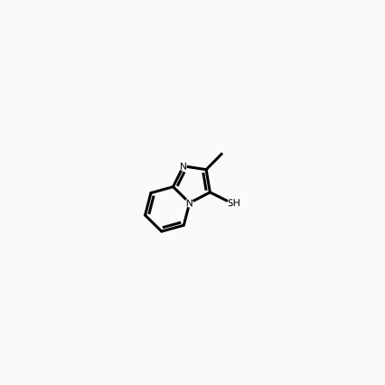 Cc1nc2ccccn2c1S